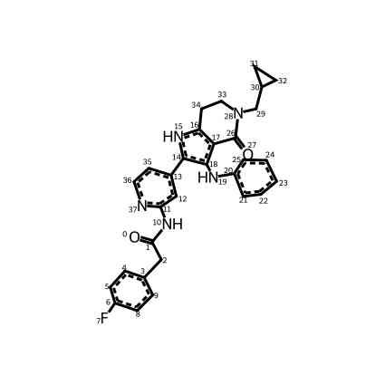 O=C(Cc1ccc(F)cc1)Nc1cc(-c2[nH]c3c(c2Nc2ccccc2)C(=O)N(CC2CC2)CC3)ccn1